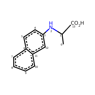 CC(Nc1ccc2ccccc2c1)C(=O)O